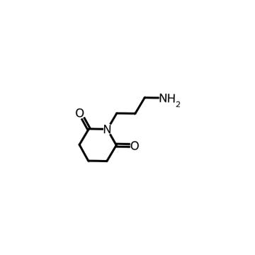 NCCCN1C(=O)CCCC1=O